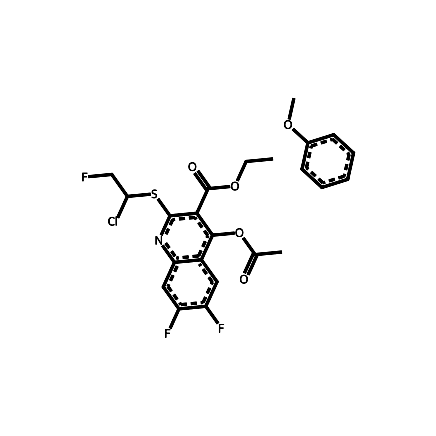 CCOC(=O)c1c(SC(Cl)CF)nc2cc(F)c(F)cc2c1OC(C)=O.COc1ccccc1